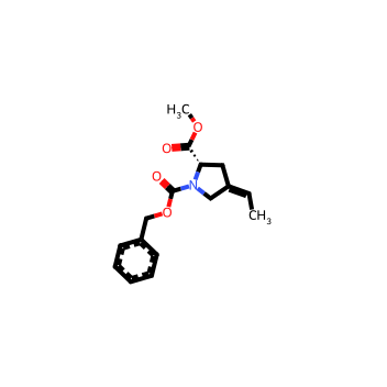 C/C=C1/C[C@@H](C(=O)OC)N(C(=O)OCc2ccccc2)C1